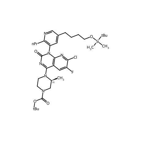 CCCc1ncc(CCCCO[Si](C)(C)C(C)(C)C)cc1-n1c(=O)nc(N2CCN(C(=O)OC(C)(C)C)C[C@@H]2C)c2cc(F)c(Cl)nc21